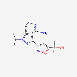 CC(C)n1nc(-c2cc(C(C)(C)O)on2)c2c(N)nccc21